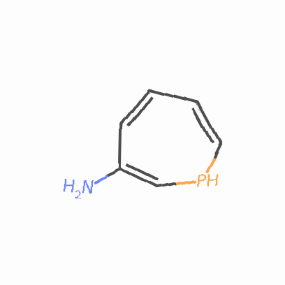 NC1=CPC=CC=C1